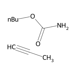 C#CC.CCCCOC(N)=O